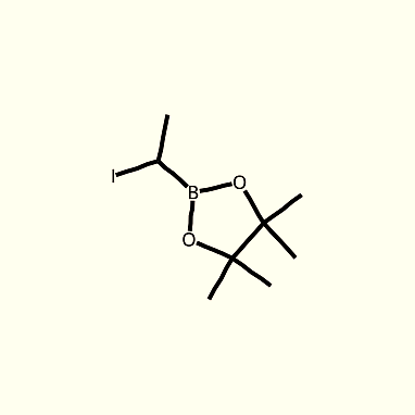 CC(I)B1OC(C)(C)C(C)(C)O1